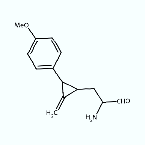 C=C1C(CC(N)C=O)C1c1ccc(OC)cc1